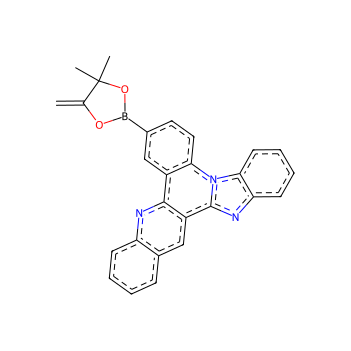 C=C1OB(c2ccc3c(c2)c2nc4ccccc4cc2c2nc4ccccc4n32)OC1(C)C